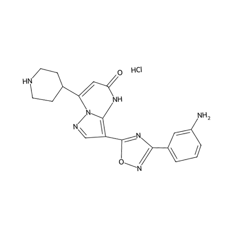 Cl.Nc1cccc(-c2noc(-c3cnn4c(C5CCNCC5)cc(=O)[nH]c34)n2)c1